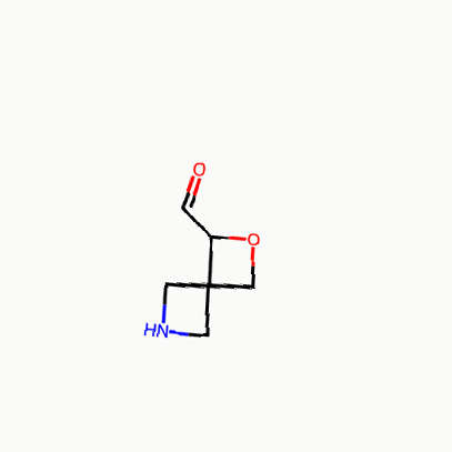 O=CC1OCC12CNC2